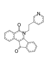 O=C1c2ccccc2-c2c1c1ccccc1c(=O)n2CCc1cccnc1